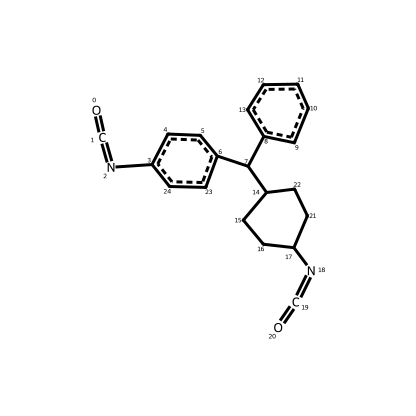 O=C=Nc1ccc(C(c2ccccc2)C2CCC(N=C=O)CC2)cc1